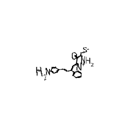 CSCCC(N)C(=O)c1cc(C=Cc2ccc(N)cc2)c2ccccc2[n+]1C